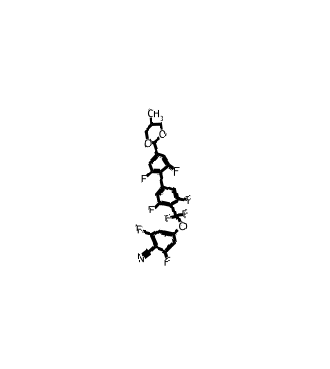 CC1COC(c2cc(F)c(-c3cc(F)c(C(F)(F)Oc4cc(F)c(C#N)c(F)c4)c(F)c3)c(F)c2)OC1